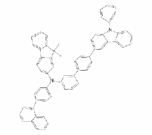 CC1(C)c2ccccc2-c2ccc(N(c3ccc(-c4cccc5ccccc45)cc3)c3cccc(-c4ccc(-c5ccc6c(c5)c5ccccc5n6-c5ccccc5)cc4)c3)cc21